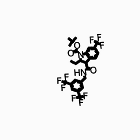 CCC1C(C(=O)NCc2cc(C(F)(F)F)cc(C(F)(F)F)c2)c2ccc(C(F)(F)F)cc2N1C(=O)OC(C)(C)C